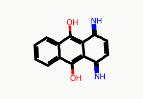 N=C1C=CC(=N)c2c1c(O)c1ccccc1c2O